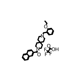 CCOc1ccccc1CN1CCC2(CC1)CCN(C(=O)c1ccc3ccccc3c1)CC2.O=C(O)C(F)(F)F